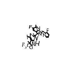 Cc1nc2c(cc1F)c(-c1nc(I)c3c(n1)NC(=O)C3(C)C(F)(F)F)nn2Cc1ncccc1F